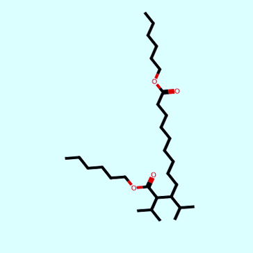 CCCCCCOC(=O)CCCCCCCCC(C(C)C)C(C(=O)OCCCCCC)C(C)C